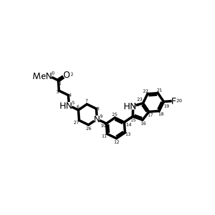 CNC(=O)CCNC1CCN(c2cccc(-c3cc4cc(F)ccc4[nH]3)c2)CC1